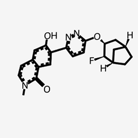 Cn1ccc2cc(O)c(-c3ccc(O[C@H]4C[C@@H]5CC[C@@H](C5)[C@H]4F)nn3)cc2c1=O